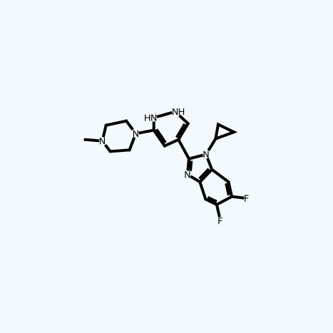 CN1CCN(C2=CC(c3nc4cc(F)c(F)cc4n3C3CC3)=CNN2)CC1